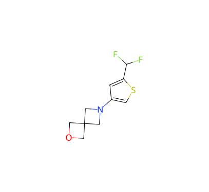 FC(F)c1cc(N2CC3(COC3)C2)cs1